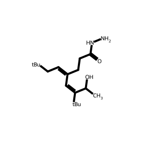 CC(O)/C(=C\C(=C/CC(C)(C)C)CCC(=O)NN)C(C)(C)C